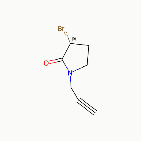 C#CCN1CC[C@@H](Br)C1=O